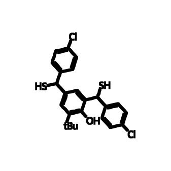 CC(C)(C)c1cc(C(S)c2ccc(Cl)cc2)cc(C(S)c2ccc(Cl)cc2)c1O